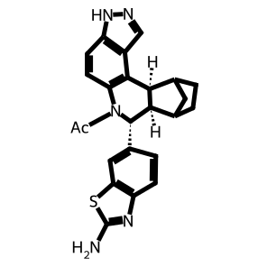 CC(=O)N1c2ccc3[nH]ncc3c2[C@H]2C3CCC(C3)[C@H]2[C@@H]1c1ccc2nc(N)sc2c1